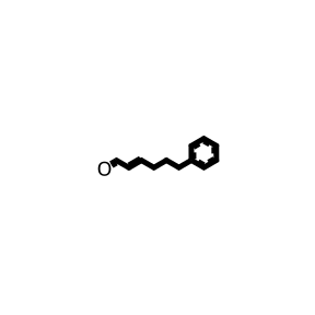 O=CC=CCCCc1ccccc1